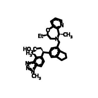 CC[C@@H]1CN(Cc2cc([C@@H](CC(=O)O)c3ccc4c(nnn4C)c3C)cc3c2CCC3)[C@@H](C)c2ncccc2O1